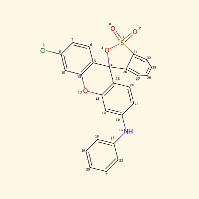 O=S1(=O)OC2(c3ccc(Cl)cc3Oc3cc(Nc4ccccc4)ccc32)c2ccccc21